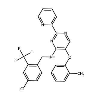 Cc1ccccc1Oc1cnc(-c2ccccn2)nc1NCc1ccc(Cl)cc1C(F)(F)F